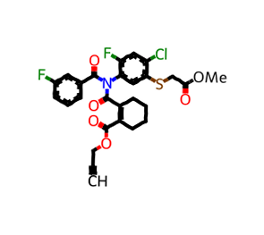 C#CCOC(=O)C1=C(C(=O)N(C(=O)c2cccc(F)c2)c2cc(SCC(=O)OC)c(Cl)cc2F)CCCC1